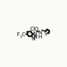 O=C(NCc1cccs1)n1nnc2cc(C(F)(F)F)cc(Cl)c21